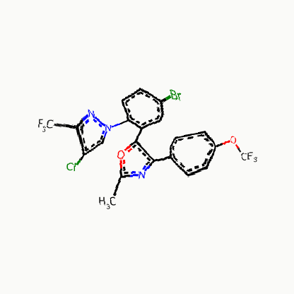 Cc1nc(-c2ccc(OC(F)(F)F)cc2)c(-c2cc(Br)ccc2-n2cc(Cl)c(C(F)(F)F)n2)o1